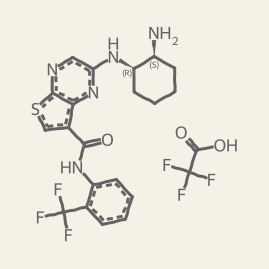 N[C@H]1CCCC[C@H]1Nc1cnc2scc(C(=O)Nc3ccccc3C(F)(F)F)c2n1.O=C(O)C(F)(F)F